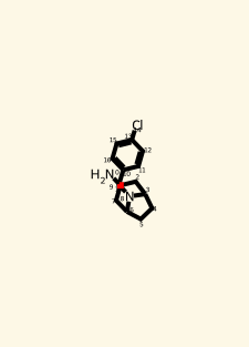 NC1CC2CCC(C1)N2Cc1ccc(Cl)cc1